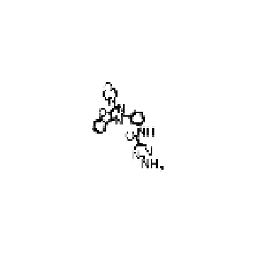 Nc1ncc(C(=O)Nc2cccc(-c3nc(N4CCOCC4)c4oc5ccccc5c4n3)c2)cn1